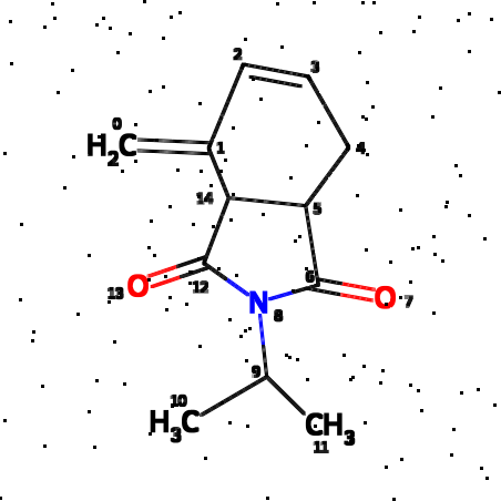 C=C1C=CCC2C(=O)N(C(C)C)C(=O)C12